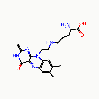 C=c1nc2c(c(=O)[nH]1)=Nc1cc(C)c(C)cc1N2CCNCCC[C@H](N)C(=O)O